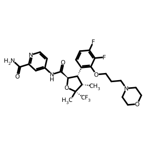 C[C@H]1[C@@H](c2ccc(F)c(F)c2OCCCN2CCOCC2)[C@H](C(=O)Nc2ccnc(C(N)=O)c2)O[C@@]1(C)C(F)(F)F